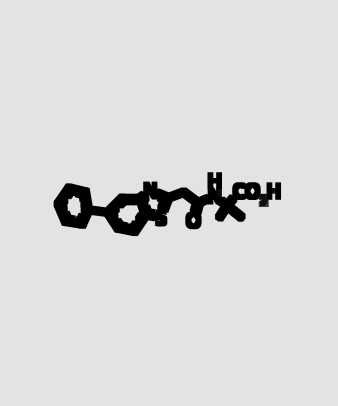 CC(C)(NC(=O)Cc1nc2cc(-c3ccccc3)ccc2s1)C(=O)O